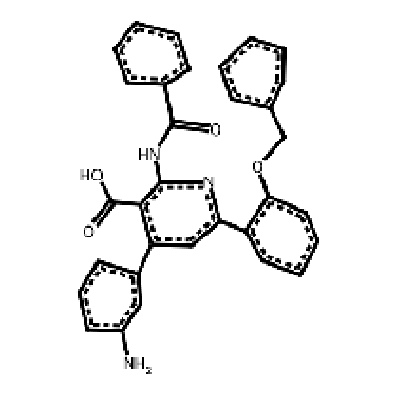 Nc1cccc(-c2cc(-c3ccccc3OCc3ccccc3)nc(NC(=O)c3ccccc3)c2C(=O)O)c1